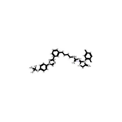 Cc1ccc(C)c(N2C(=O)CS/C2=N\C(=S)NCCCCc2cccc(-c3ncn(-c4ccc(OC(F)(F)F)cc4)n3)c2)c1